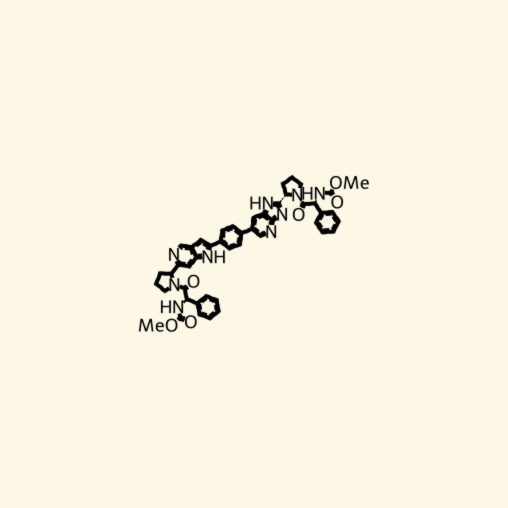 COC(=O)N[C@@H](C(=O)N1CCCC1c1cc2[nH]c(-c3ccc(-c4cnc5nc([C@@H]6CCCN6C(=O)[C@H](NC(=O)OC)c6ccccc6)[nH]c5c4)cc3)cc2cn1)c1ccccc1